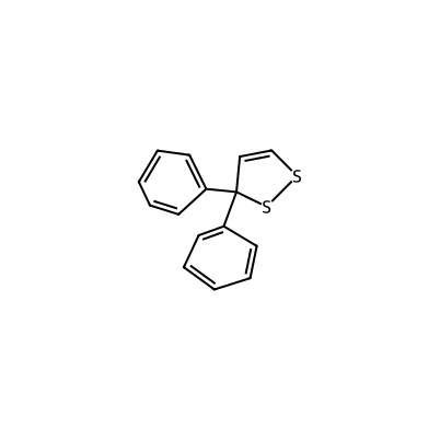 C1=CC(c2ccccc2)(c2ccccc2)SS1